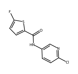 O=C(Nc1ccc(Cl)nc1)c1ccc(F)s1